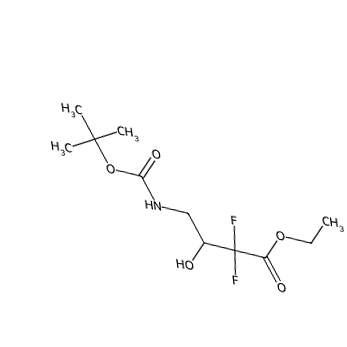 CCOC(=O)C(F)(F)C(O)CNC(=O)OC(C)(C)C